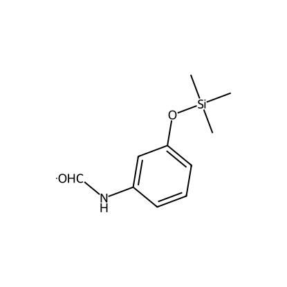 C[Si](C)(C)Oc1cccc(N[C]=O)c1